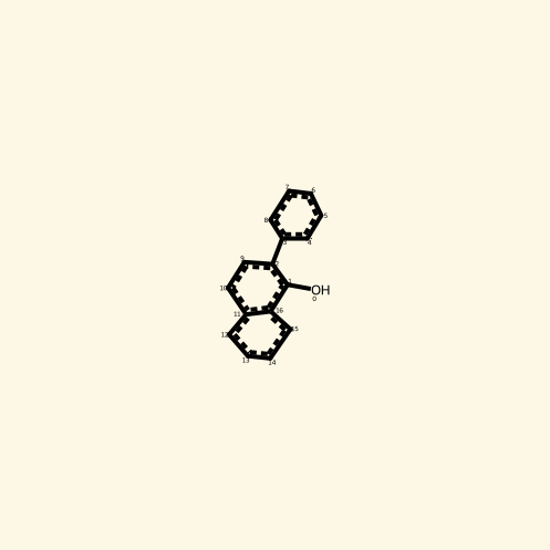 Oc1c(-c2[c]cccc2)ccc2ccccc12